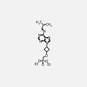 CCOP(=O)(COC1CC(n2cnc3c(/N=C/N(C)C)ncnc32)C1)OCC